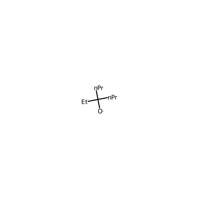 CCCC([O])(CC)CCC